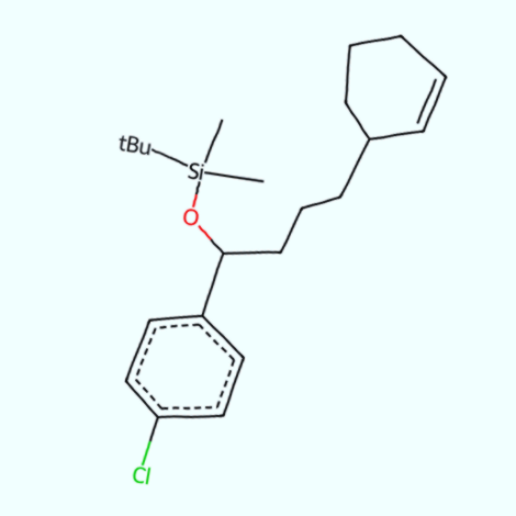 CC(C)(C)[Si](C)(C)OC(CCCC1C=CCCC1)c1ccc(Cl)cc1